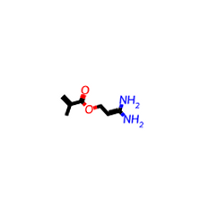 C=C(C)C(=O)OCC=C(N)N